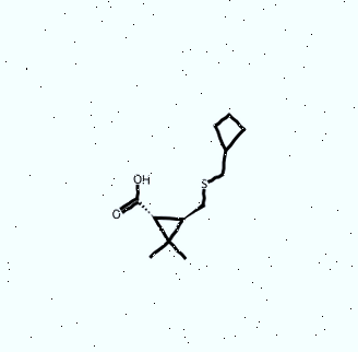 CC1(C)[C@H](CSCC2CCC2)[C@H]1C(=O)O